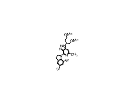 COCCC(COC)n1nnc2c(N3CCc4cc(Br)cc(Br)c43)nc(C)cc21